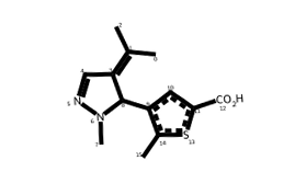 CC(C)=C1C=NN(C)C1c1cc(C(=O)O)sc1C